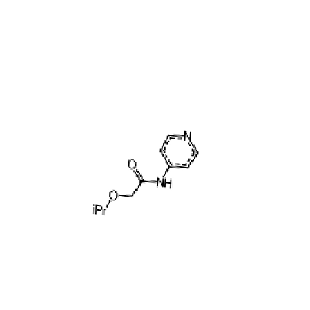 CC(C)OCC(=O)Nc1ccncc1